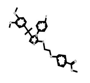 COC(=O)c1ccc(OCCSc2ncc(C(C)(C)c3ccc(OC)c(OC)c3)n2-c2ccc(F)cc2)cc1